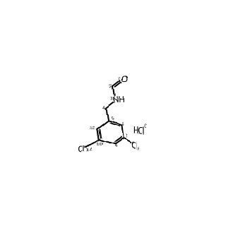 Cl.O=CNCc1cc(Cl)cc(Cl)c1